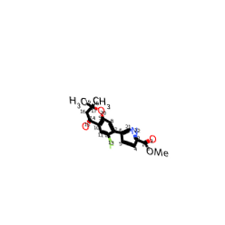 COC(=O)c1ccc(-c2cc3c(cc2F)C(=O)CC(C)(C)O3)cn1